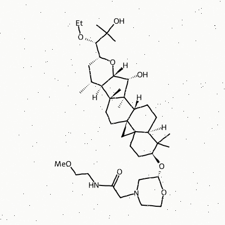 CCO[C@@H]([C@H]1C[C@@H](C)[C@H]2[C@H](O1)[C@H](O)[C@@]1(C)[C@@H]3CC[C@H]4C(C)(C)[C@@H](O[C@H]5CN(CC(=O)NCCOC)CCO5)CCC45C[C@@]35CC[C@]21C)C(C)(C)O